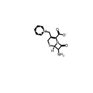 NC1C(=O)N2C(C(=O)[O-])=C(C[n+]3ccccc3)CS[C@@H]12